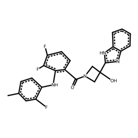 Cc1ccc(Nc2c(C(=O)N3CC(O)(c4nc5ccccc5[nH]4)C3)ccc(F)c2F)c(F)c1